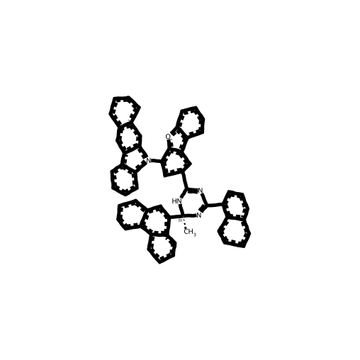 C[C@@]1(c2cc3ccccc3c3ccccc23)N=C(c2cccc3ccccc23)N=C(c2cc(-n3c4ccccc4c4cc5ccccc5cc43)c3oc4ccccc4c3c2)N1